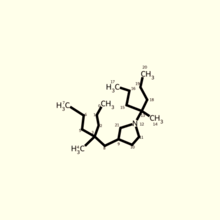 CCCC(C)(CCC)CC1CCN(C(C)(CCC)CCC)C1